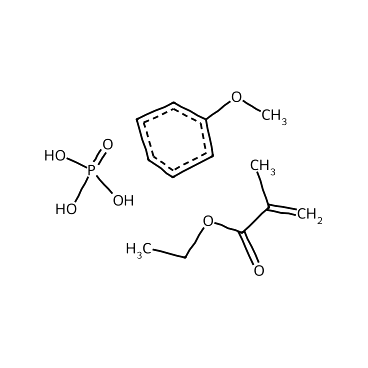 C=C(C)C(=O)OCC.COc1ccccc1.O=P(O)(O)O